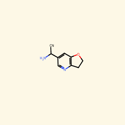 N#CC(N)c1cnc2c(c1)OCC2